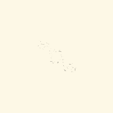 Nc1ncnc2c1ncn2[C@H]1C[C@@H]2OP(=O)(O)OC[C@H]3O[C@@H](n4cnc5c4ncn4ccnc54)C[C@@H]3OP(=O)(O)OC[C@H]2O1